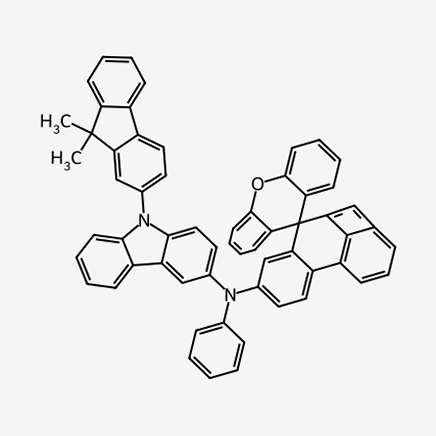 CC1(C)c2ccccc2-c2ccc(-n3c4ccccc4c4cc(N(c5ccccc5)c5ccc6c(c5)C5(c7ccccc7Oc7ccccc75)c5cccc7cccc-6c57)ccc43)cc21